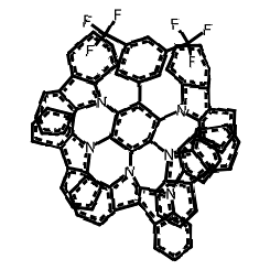 FC(F)(F)c1cc(-c2c(-n3c4ccccc4c4ccccc43)c(-n3c4ccccc4c4ccccc43)c(-n3c4ccccc4c4c5ccccc5n(-c5ccccc5)c43)c(-n3c4ccccc4c4ccccc43)c2-n2c3ccccc3c3ccccc32)cc(C(F)(F)F)c1